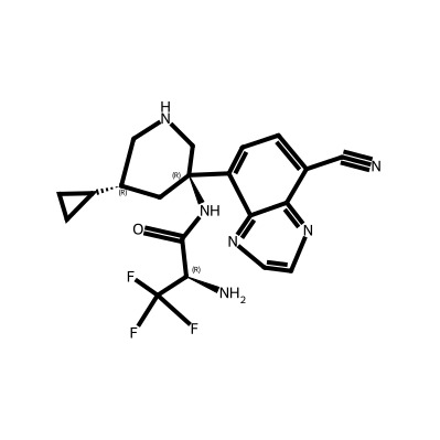 N#Cc1ccc([C@@]2(NC(=O)[C@@H](N)C(F)(F)F)CNC[C@@H](C3CC3)C2)c2nccnc12